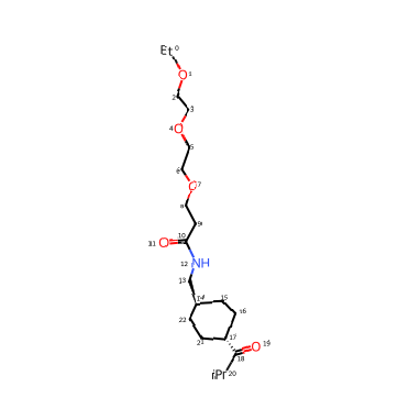 CCOCCOCCOCCC(=O)NC[C@H]1CC[C@H](C(=O)C(C)C)CC1